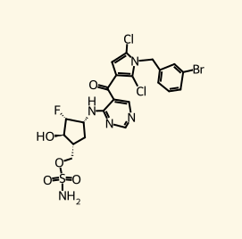 NS(=O)(=O)OC[C@H]1C[C@@H](Nc2ncncc2C(=O)c2cc(Cl)n(Cc3cccc(Br)c3)c2Cl)[C@@H](F)[C@@H]1O